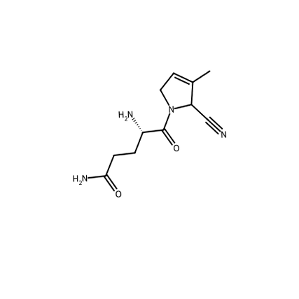 CC1=CCN(C(=O)[C@@H](N)CCC(N)=O)C1C#N